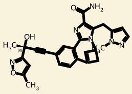 Cc1cc([C@](C)(O)C#Cc2ccc3c(c2)-c2nc(C(N)=O)c(Cc4ccnn4C)n2C2C=C3C2)no1